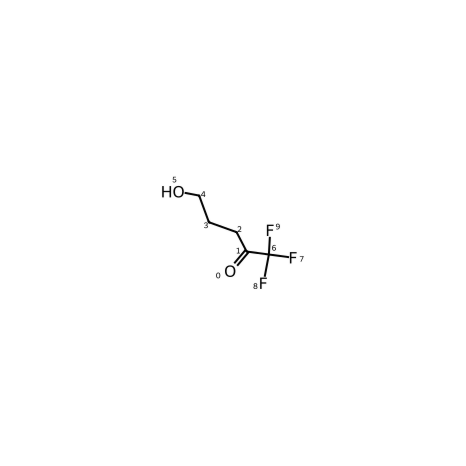 O=C(CCCO)C(F)(F)F